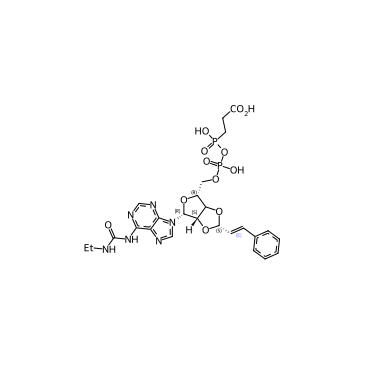 CCNC(=O)Nc1ncnc2c1ncn2[C@@H]1O[C@H](COP(=O)(O)OP(=O)(O)CCC(=O)O)C2O[C@H](/C=C/c3ccccc3)O[C@@H]21